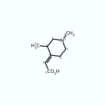 CC1CN(C)CC/C1=C\C(=O)O